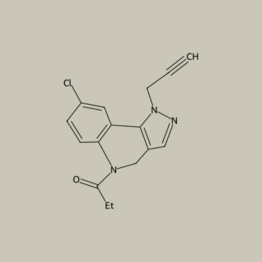 C#CCn1ncc2c1-c1cc(Cl)ccc1N(C(=O)CC)C2